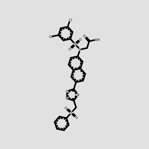 O=C(O)CN(c1ccc2cc(-c3nc(CS(=O)(=O)c4ccccc4)no3)ccc2c1)S(=O)(=O)c1cc(Cl)cc(Cl)c1